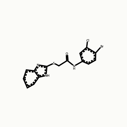 O=C(CSc1nc2ccccc2[nH]1)Nc1ccc(Br)c(Cl)c1